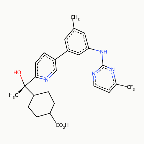 Cc1cc(Nc2nccc(C(F)(F)F)n2)cc(-c2ccc([C@@](C)(O)C3CCC(C(=O)O)CC3)nc2)c1